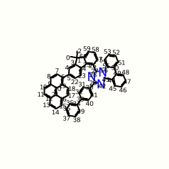 CC1(C)c2cc(-c3ccc4ccc5cccc6ccc3c4c56)ccc2-c2c(-c3nc(-c4ccc(-c5ccccc5)cc4)nc(-c4ccccc4-c4ccccc4)n3)cccc21